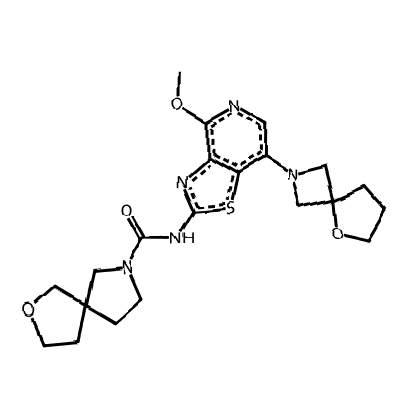 COc1ncc(N2CC3(CCCO3)C2)c2sc(NC(=O)N3CCC4(CCOC4)C3)nc12